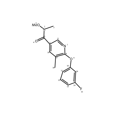 CON(C)C(=O)c1cnc(Oc2cccc(F)c2)c(C)c1